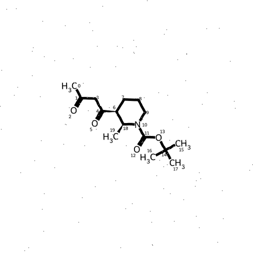 CC(=O)CC(=O)[C@H]1CCCN(C(=O)OC(C)(C)C)[C@H]1C